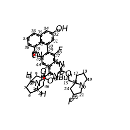 CC(C)(C)OC(=O)N1[C@@H]2CC[C@H]1CN(c1nc(OC[C@@]34CCCN3C[C@H](F)C4)nc3c(F)c(-c4cc(O)cc5cccc(C#N)c45)c(F)cc13)C2